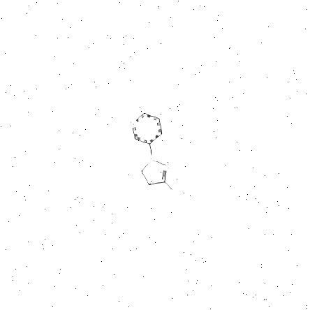 ClC1=NN(c2cccnc2)CC1